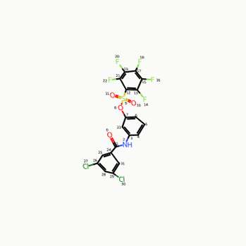 O=C(Nc1cccc(OS(=O)(=O)c2c(F)c(F)c(F)c(F)c2F)c1)c1cc(Cl)cc(Cl)c1